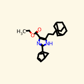 CCOC(=O)c1nc(C2CC3C=CC2C3)[nH]c1CCC12CC3CC(CC(C3)C1)C2